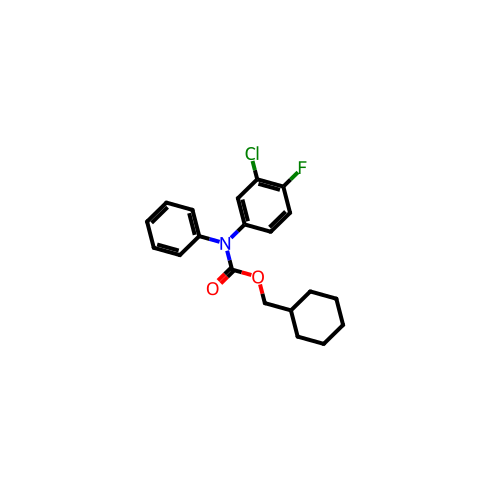 O=C(OCC1CCCCC1)N(c1ccccc1)c1ccc(F)c(Cl)c1